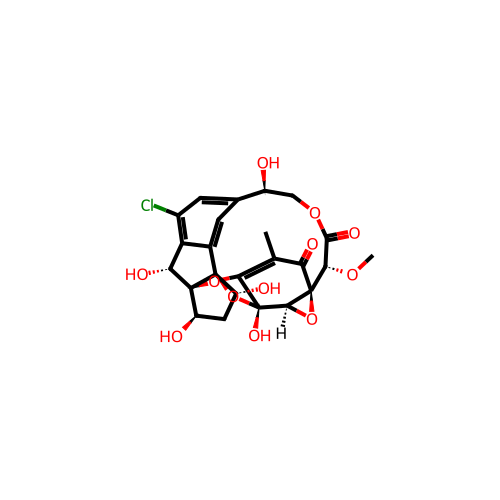 CO[C@H]1C(=O)OC[C@H](O)c2cc(Cl)c3c(c2)[C@@]24O[C@]5(O)C(=C(C)C(=O)[C@]16O[C@H]65)O[C@@]2([C@H](O)C[C@H]4O)[C@@H]3O